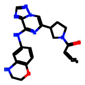 C=CC(=O)N1CCC(c2cn3ncnc3c(Nc3ccc4c(c3)NCCO4)n2)C1